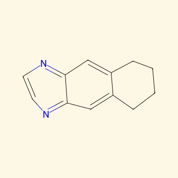 c1cnc2cc3c(cc2n1)CCCC3